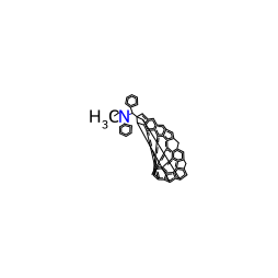 CCN(c1ccccc1)C(c1ccccc1)C12C=c3cc4cc5cc6c7c5c5c4c4c3C1c1c3c(cc8c9c%10c(cc(c%11c%10c%10c(c1c4c5c%10c7%11)c39)C6)C8)C2